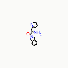 N[C@H](Cc1ccccn1)C(=O)N1Cc2ccccc2C1